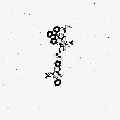 CC(C)(C)OC(=O)N[C@@H](Cc1ccc(OC(=O)NCC[C@H](NC(=O)OC(C)(C)C)C(=O)N[C@@H](CSC(c2ccccc2)(c2ccccc2)c2ccccc2)C(=O)NCC(N)=O)cc1)C(=O)Nc1ccccc1